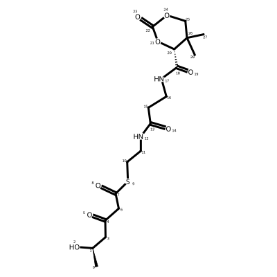 C[C@@H](O)CC(=O)CC(=O)SCCNC(=O)CCNC(=O)[C@@H]1OC(=O)OCC1(C)C